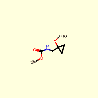 CC(C)(C)OC(=O)NCC1(OC=O)CC1